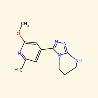 COc1cc(-c2nnc3n2CCCN3)cc(C)n1